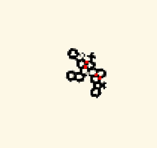 CC(C)(C)c1ccc(N(c2ccc3c(c2)-c2ccccc2C3(C)C)c2ccc3ccccc3c2-c2ccc3oc4ccccc4c3c2)c(-c2ccccc2)c1